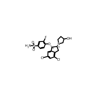 NS(=O)(=O)c1ccc(O[C@H]2c3cc(Cl)cc(Cl)c3C[C@@H]2N2CCC(O)C2)c(F)c1